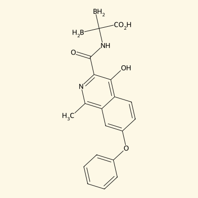 BC(B)(NC(=O)c1nc(C)c2cc(Oc3ccccc3)ccc2c1O)C(=O)O